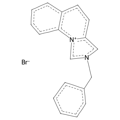 [Br-].c1ccc(Cn2cc3ccc4ccccc4[n+]3c2)cc1